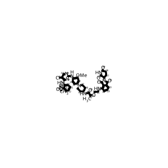 COc1cc(N2CCC(NC(=O)C(C)OCCNc3cccc4c3C(=O)N(C3CCC(=O)NC3=O)C4=O)CC2)ccc1Nc1ncc(Cl)c(Nc2ccccc2P(C)(C)=O)n1